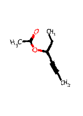 CC#CC(CC)OC(C)=O